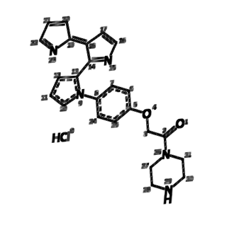 Cl.O=C(COc1ccc(-n2cccc2C2=NC=CC2=C2C=CC=N2)cc1)N1CCNCC1